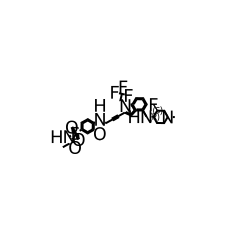 COc1cc(S(=O)(=O)NC(C)=O)ccc1NCC#Cc1cc2c(N[C@@H]3CCN(C)C[C@@H]3F)cccc2n1CC(F)(F)F